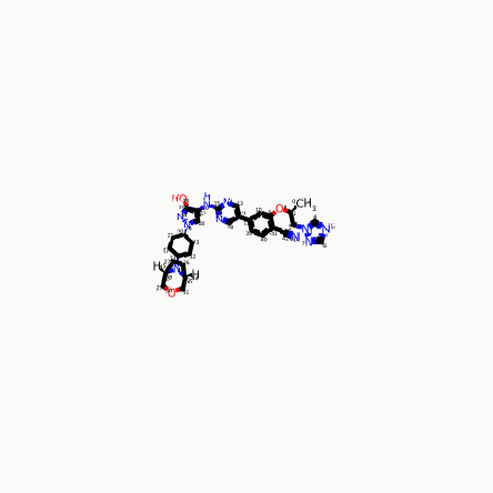 C[C@@H](Cn1cncn1)Oc1cc(-c2cnc(Nc3cn([C@H]4CC[C@H](N5[C@@H]6CC[C@H]5COC6)CC4)nc3O)nc2)ccc1C#N